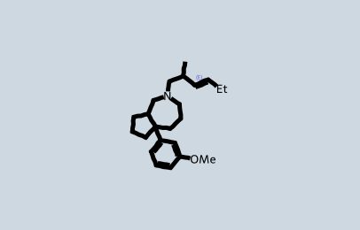 CC/C=C/C(C)CN1CCCC2(c3cccc(OC)c3)CCCC2C1